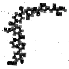 COc1ccc(-c2cnc3c(Nc4ccc(C(=O)N5CCN(C(=O)[C@@H]6C[C@@H](OC(=O)[C@@H](N)CCCNC(=N)N)CN6)CC5)c(C)c4)nccn23)c(F)c1F